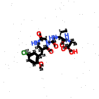 CC[C@@H](NC(=O)N1CC(=O)NCC(Cc2cc(Cl)ccc2OC)C1=O)C(=O)N[C@@H](C)C(=O)O